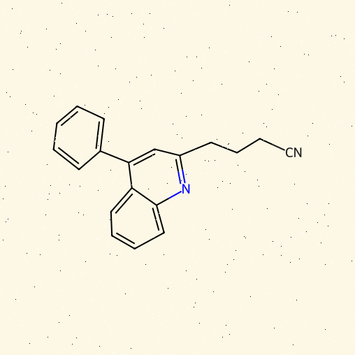 N#CCCCc1cc(-c2ccccc2)c2ccccc2n1